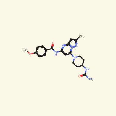 Cc1cc2nc(NC(=O)c3ccc(OC(F)(F)F)cc3)cc(N3CCC(NC(N)=O)CC3)n2n1